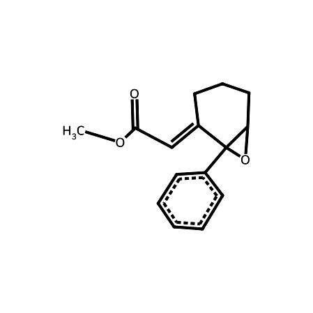 COC(=O)C=C1CCCC2OC12c1ccccc1